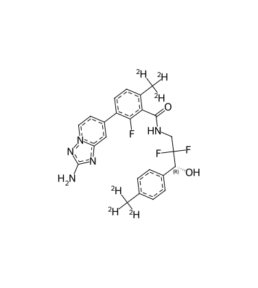 [2H]C([2H])([2H])c1ccc([C@@H](O)C(F)(F)CNC(=O)c2c(C([2H])([2H])[2H])ccc(-c3ccn4nc(N)nc4c3)c2F)cc1